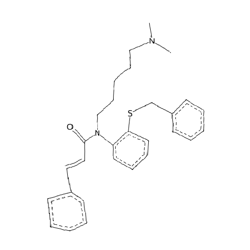 CN(C)CCCCCN(C(=O)C=Cc1ccccc1)c1ccccc1SCc1ccccc1